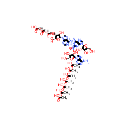 CC(=O)O.CC(=O)O.CC(=O)O.CC(=O)O.CC(=O)O.CC(=O)O.CC(=O)O.CC(=O)O.CC(=O)O.CC(=O)O.Nc1nc([N+](=O)[O-])nc2c1ncn2[C@@H]1O[C@H](CO)[C@@H](O)[C@H]1O.Nc1ncnc2c1ncn2[C@@H]1O[C@H](CO)[C@@H](O)[C@H]1O.Nc1ncnc2c1ncn2[C@@H]1O[C@H](CO)[C@@H](O)[C@H]1O